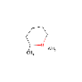 CC1CCCCO1.[AlH3]